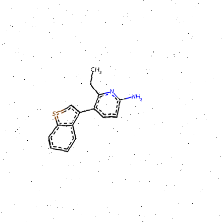 CCc1nc(N)ccc1-c1csc2ccccc12